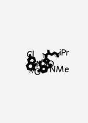 CNC(=O)c1ccc2c(c1)N(C[C@H]1C([C@@H](C)C(C)CC[C@H](C)C(C)C)C[C@H]1C)CC1(CO2)C2=C(C=C(Cl)CC2)CC[C@H]1C